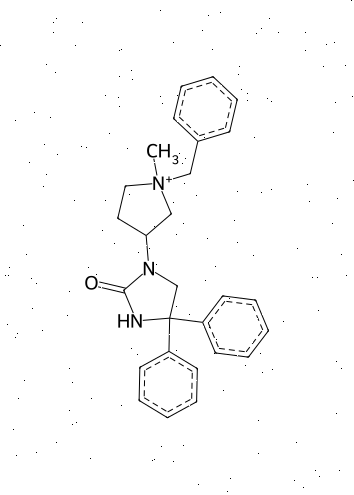 C[N+]1(Cc2ccccc2)CCC(N2CC(c3ccccc3)(c3ccccc3)NC2=O)C1